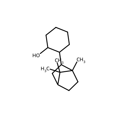 CC1(C)C2CCC1(C)C(C1CCCCC1O)C2